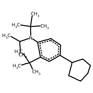 CC(C)N(c1ccc(C2CCCCC2)cc1C(C)(C)C)C(C)(C)C